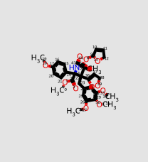 COC(=O)C(NC(=O)OC1C=CCO1)(c1ccc(OC)cc1)C(Cc1cc(OC)c(OC)c(OC)c1)(C1=CCOO1)C(C)C=O